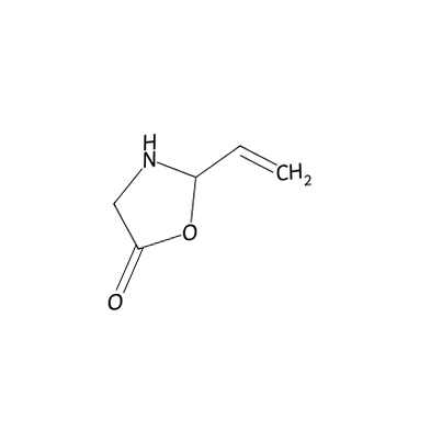 C=CC1NCC(=O)O1